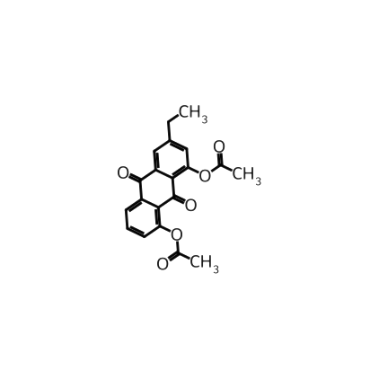 CCc1cc(OC(C)=O)c2c(c1)C(=O)c1cccc(OC(C)=O)c1C2=O